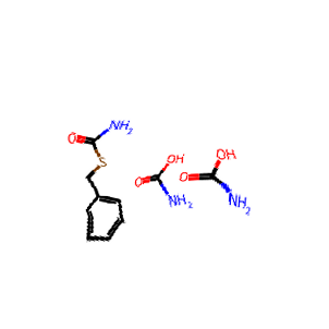 NC(=O)O.NC(=O)O.NC(=O)SCc1ccccc1